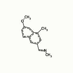 C/N=C/c1cc(C)c2cc(OC)ccc2c1